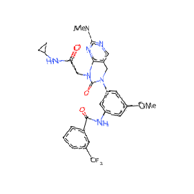 CNc1ncc2c(n1)N(CC(=O)NC1CC1)C(=O)N(c1cc(NC(=O)c3cccc(C(F)(F)F)c3)cc(OC)c1)C2